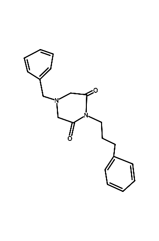 O=C1CN(Cc2ccccc2)CC(=O)N1CCCc1ccccc1